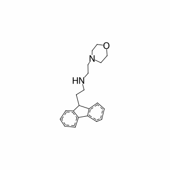 c1ccc2c(c1)-c1ccccc1C2CCNCCN1CCOCC1